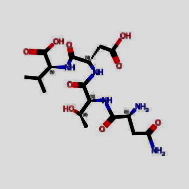 CC(C)[C@H](NC(=O)[C@H](CC(=O)O)NC(=O)[C@@H](NC(=O)[C@@H](N)CC(N)=O)[C@@H](C)O)C(=O)O